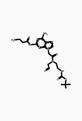 CC(C)(C)OC(=O)NCCN(CC=O)C(=O)Cn1cnc2c(N)nc(NC(=O)CCN)nc21